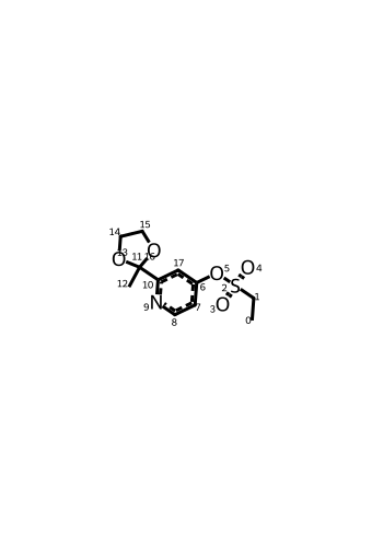 CCS(=O)(=O)Oc1ccnc(C2(C)OCCO2)c1